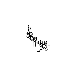 CCCCn1c(=O)[nH]c(=O)c2c1nc(CSc1nc3cc(S(=O)(=O)N(C)CCOCC)ccc3[nH]1)n2CC